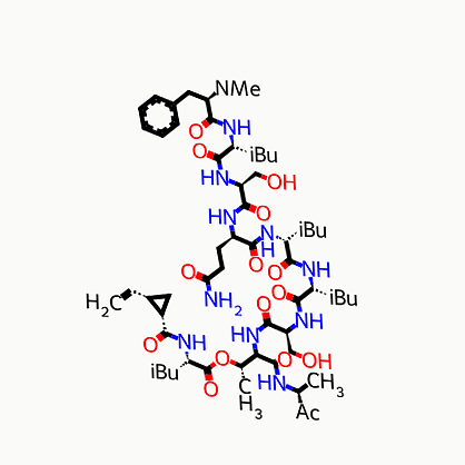 C=C[C@@H]1C[C@@H]1C(=O)N[C@H](C(=O)O[C@@H](C)C(NC(=O)[C@H](CO)NC(=O)[C@@H](NC(=O)[C@H](NC(=O)[C@@H](CCC(N)=O)NC(=O)[C@H](CO)NC(=O)[C@@H](NC(=O)[C@@H](Cc1ccccc1)NC)[C@@H](C)CC)[C@@H](C)CC)[C@@H](C)CC)C(=O)N[C@@H](C)C(C)=O)[C@@H](C)CC